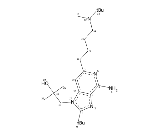 CCCCc1nc2c(N)nc(CCCCN(C)C(C)(C)C)cc2n1CC(C)(C)O